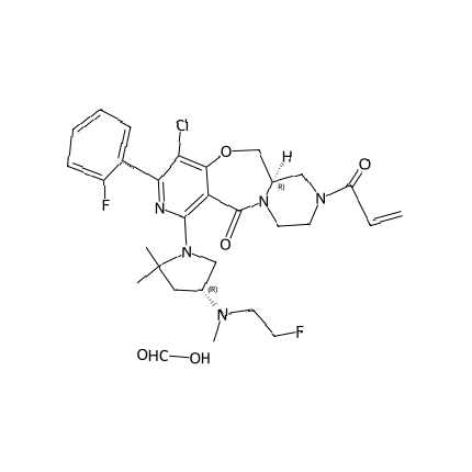 C=CC(=O)N1CCN2C(=O)c3c(N4C[C@H](N(C)CCF)CC4(C)C)nc(-c4ccccc4F)c(Cl)c3OC[C@H]2C1.O=CO